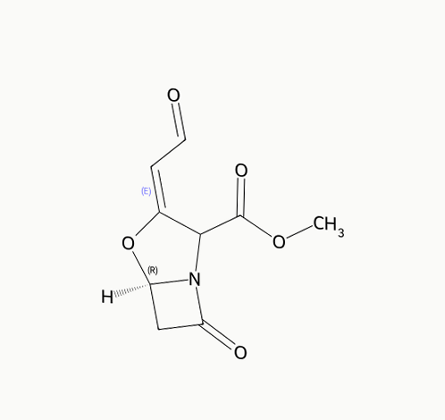 COC(=O)C1/C(=C\C=O)O[C@@H]2CC(=O)N12